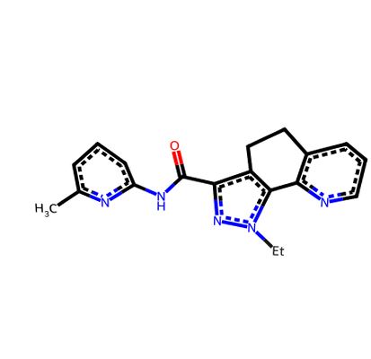 CCn1nc(C(=O)Nc2cccc(C)n2)c2c1-c1ncccc1CC2